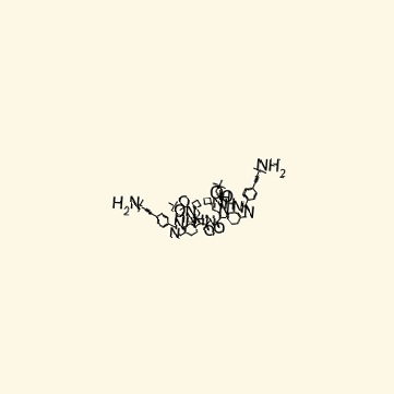 CC(C)(N)C#Cc1ccc(-c2ncc3c(n2)-c2[nH]c(CC4(NC(=O)OC(C)(C)C)CCC4)c(C(=O)NC(=O)c4c(CC5(NC(=O)OC(C)(C)C)CCC5)[nH]c5c4CCc4cnc(-c6ccc(C#CC(C)(C)N)cc6)nc4-5)c2CC3)cc1